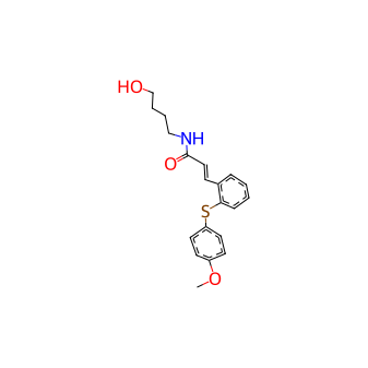 COc1ccc(Sc2ccccc2C=CC(=O)NCCCCO)cc1